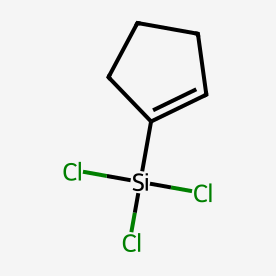 Cl[Si](Cl)(Cl)C1=CCCC1